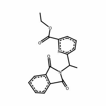 CCOC(=O)c1cccc(C(C)N2C(=O)c3ccccc3C2=O)n1